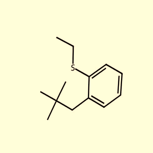 CCSc1ccccc1CC(C)(C)C